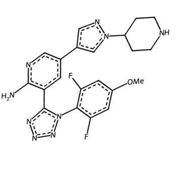 COc1cc(F)c(-n2nnnc2-c2cc(-c3cnn(C4CCNCC4)c3)cnc2N)c(F)c1